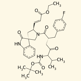 CCOC(=O)/C=C/[C@@H]1C[C@@]2(CN1C(=O)[C@@H](CC(=O)C(NC(=O)OC(C)(C)C)C(C)C)Cc1ccc(F)cc1)C(=O)Nc1ccccc12